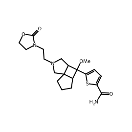 COC1(c2ccc(C(N)=O)s2)C2CCCC23CN(CCN2CCOC2=O)CC31